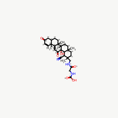 CC1(CNC(=O)CNC(=O)O)CCC2(C)CCC3(C)C4(C)CCC5CC(=O)C=CC5(C)C4=CC(=O)C3(O)C2C1C#N